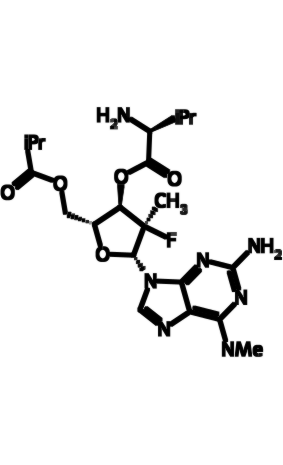 CNc1nc(N)nc2c1ncn2[C@@H]1O[C@H](COC(=O)C(C)C)[C@@H](OC(=O)[C@@H](N)C(C)C)[C@@]1(C)F